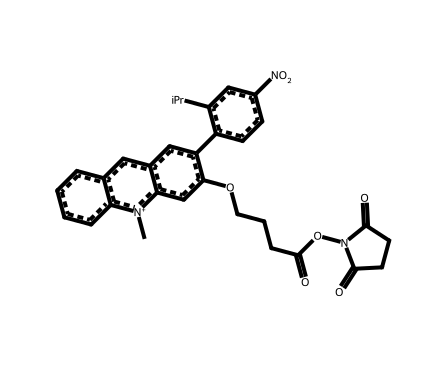 CC(C)c1cc([N+](=O)[O-])ccc1-c1cc2cc3ccccc3[n+](C)c2cc1OCCCC(=O)ON1C(=O)CCC1=O